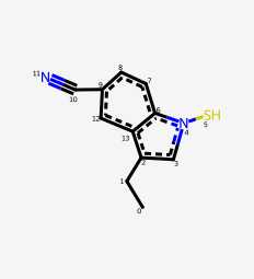 CCc1cn(S)c2ccc(C#N)cc12